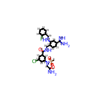 CS(=O)(=O)N(CC(N)=O)c1cc(Cl)cc(C(=O)NCc2ccc(C(=N)N)cc2NCc2ccccc2F)c1